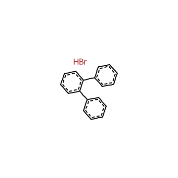 Br.c1ccc(-c2ccccc2-c2ccccc2)cc1